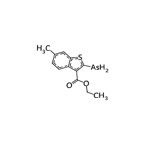 CCOC(=O)c1c([AsH2])sc2cc(C)ccc12